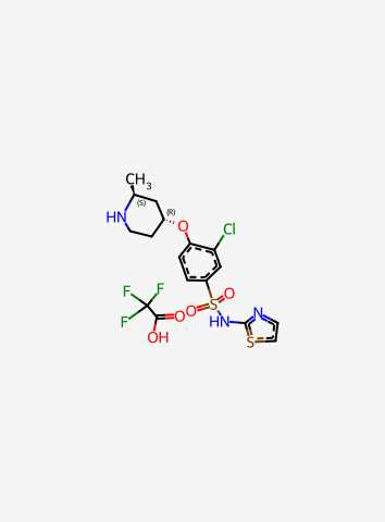 C[C@H]1C[C@H](Oc2ccc(S(=O)(=O)Nc3nccs3)cc2Cl)CCN1.O=C(O)C(F)(F)F